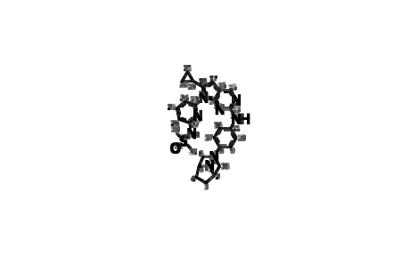 CN1C2CCC1CN(c1ccc(Nc3ncc4cc(C5CC5)n(-c5cccc(N=S(C)(C)=O)n5)c4n3)cc1)C2